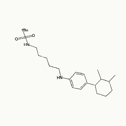 CC1CCCC(c2ccc(NCCCCCNS(=O)(=O)C(C)(C)C)cc2)C1C